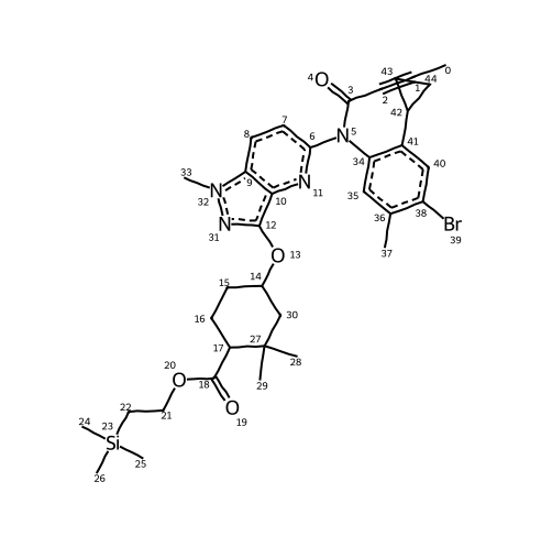 CC#CC(=O)N(c1ccc2c(n1)c(OC1CCC(C(=O)OCC[Si](C)(C)C)C(C)(C)C1)nn2C)c1cc(C)c(Br)cc1C1CC1